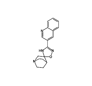 c1ccc2ncc(C3=NOC4(CN5CCC4CC5)N3)cc2c1